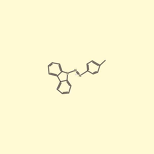 Cc1ccc(/N=N/n2c3ccccc3c3ccccc32)cc1